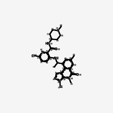 CCn1ncc2c3c(C(C)Nc4ccc(Cl)nc4C(=O)NC4CCN(C)CC4)cc(C)cc3c(=O)n(C)c21